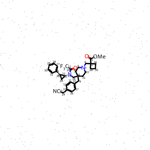 COC(=O)C1(CN2CCC(Cc3ccc(CC#N)cc3)(CN(C(=O)C(F)(F)F)[C@@H]3C[C@H]3c3ccccc3)CC2)CCC1